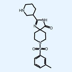 Cc1cccc(S(=O)(=O)N2CCC3(CC2)N=C(C2CCCNC2)NC3=O)c1